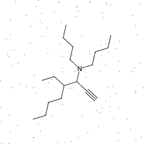 C#CC(C(CC)CCCC)N(CCCC)CCCC